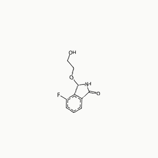 O=C1NC(OCCO)c2c(F)cccc21